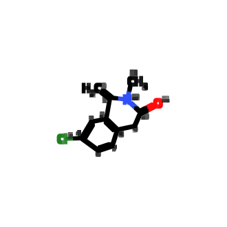 C=C1c2cc(Cl)ccc2CC(=O)N1C